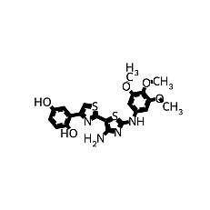 COc1cc(Nc2nc(N)c(-c3nc(-c4cc(O)ccc4O)cs3)s2)cc(OC)c1OC